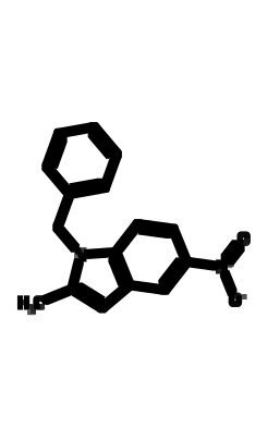 Cc1cc2cc([N+](=O)[O-])ccc2n1Cc1ccccc1